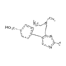 CN(C)c1nc(Cl)ncc1-c1ccc(C(=O)O)cc1